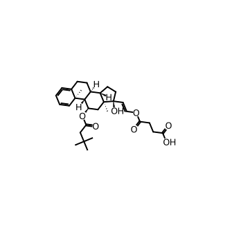 CC(C)(C)CC(=O)O[C@@H]1C[C@@]2(C)[C@@H](CC[C@]2(O)C=COC(=O)CCC(=O)O)[C@@H]2CCC3=C=CC=C[C@]3(C)[C@H]21